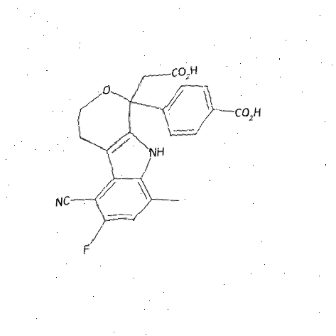 Cc1cc(F)c(C#N)c2c3c([nH]c12)C(CC(=O)O)(c1ccc(C(=O)O)cc1)OCC3